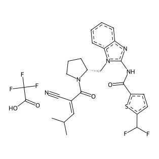 CC(C)C=C(C#N)C(=O)N1CCC[C@@H]1Cn1c(NC(=O)c2ccc(C(F)F)s2)nc2ccccc21.O=C(O)C(F)(F)F